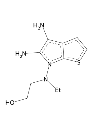 CCN(CCO)n1c(N)c(N)c2ccsc21